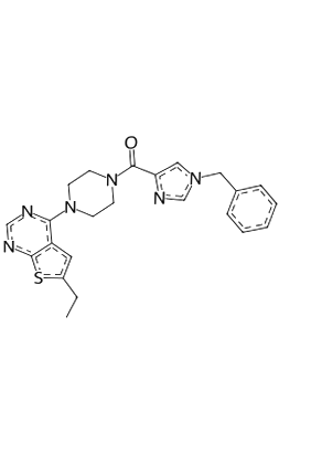 CCc1cc2c(N3CCN(C(=O)c4cn(Cc5ccccc5)cn4)CC3)ncnc2s1